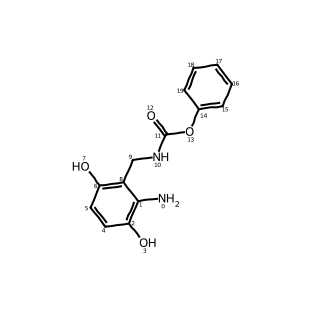 Nc1c(O)ccc(O)c1CNC(=O)Oc1ccccc1